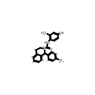 Cc1cc(C#N)ccc1NC(=O)N1CCc2ccccc2C1c1ccc(C(F)(F)F)cc1